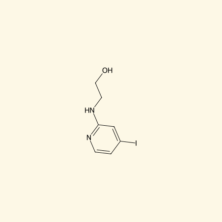 OCCNc1cc(I)ccn1